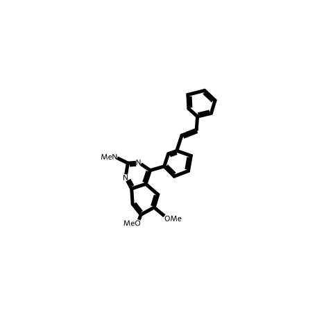 CNc1nc(-c2cccc(C=Cc3ccccc3)c2)c2cc(OC)c(OC)cc2n1